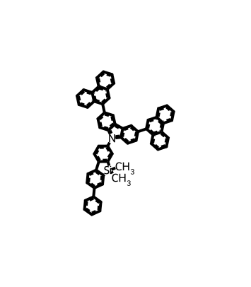 C[Si]1(C)c2cc(-c3ccccc3)ccc2-c2ccc(-n3c4ccc(-c5cc6ccccc6c6ccccc56)cc4c4cc(-c5cc6ccccc6c6ccccc56)ccc43)cc21